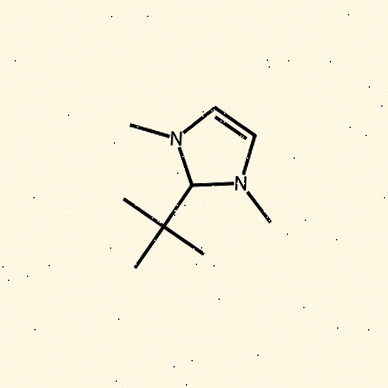 CN1C=CN(C)C1C(C)(C)C